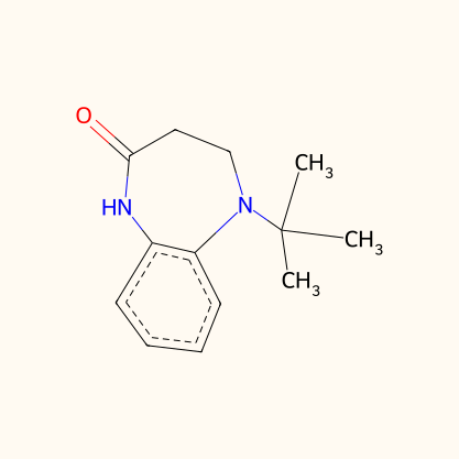 CC(C)(C)N1CCC(=O)Nc2ccccc21